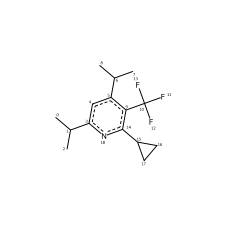 CC(C)c1cc(C(C)C)c(C(F)(F)F)c(C2CC2)n1